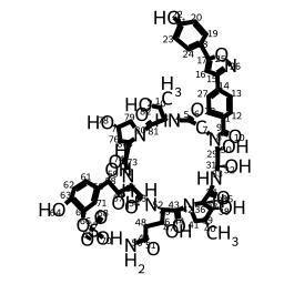 C[C@@H](O)[C@@H]1NC(=O)CN(C(=O)c2ccc(-c3cc(-c4ccc(O)cc4)on3)cc2)[C@@H](O)[C@@H](O)NC(=O)[C@@H]2[C@@H](O)[C@@H](C)CN2C(=O)[C@H]([C@H](O)CC(N)=O)NC(=O)[C@H]([C@H](O)[C@@H](O)c2ccc(O)c(OS(=O)(=O)O)c2)NC(=O)[C@@H]2C[C@@H](O)CN2C1=O